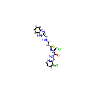 O=C(NCc1ncccc1Cl)c1nc(CCNCc2nc3ccccc3[nH]2)sc1Cl